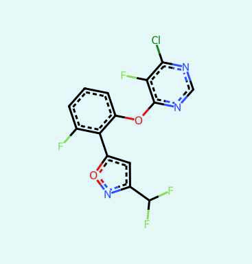 Fc1cccc(Oc2ncnc(Cl)c2F)c1-c1cc(C(F)F)no1